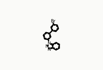 Brc1cccc(-c2cccc(-n3nnc4ccccc43)c2)c1